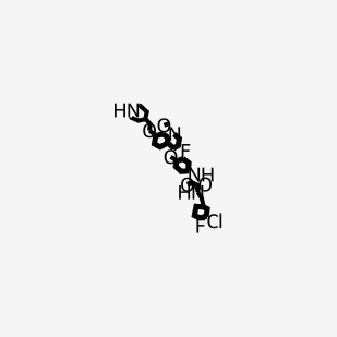 COc1c(OCC2CCNCC2)ccc2c(Oc3ccc(NC(=O)C(=O)NCc4ccc(F)c(Cl)c4)cc3F)ccnc12